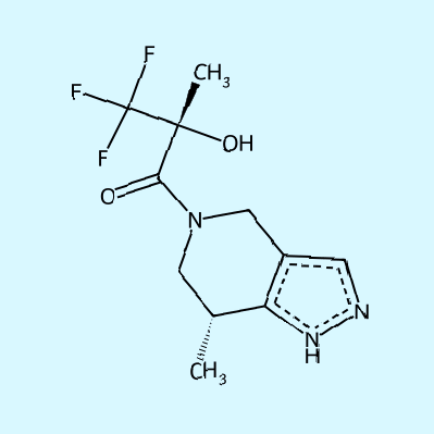 C[C@@H]1CN(C(=O)[C@@](C)(O)C(F)(F)F)Cc2cn[nH]c21